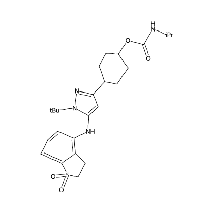 CC(C)NC(=O)OC1CCC(c2cc(Nc3cccc4c3CCS4(=O)=O)n(C(C)(C)C)n2)CC1